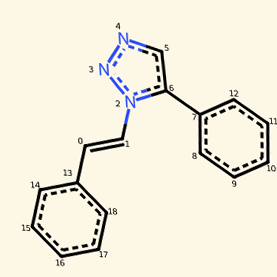 C(=Cn1nncc1-c1ccccc1)c1ccccc1